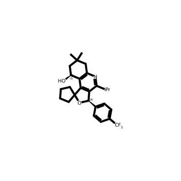 CC(C)c1nc2c(c3c1[C@@H](c1ccc(C(F)(F)F)cc1)OC31CCCC1)[C@@H](O)CC(C)(C)C2